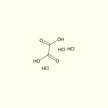 Cl.Cl.Cl.O=C(O)C(=O)O